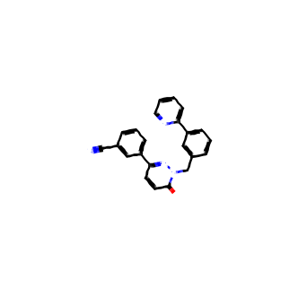 N#Cc1cccc(-c2ccc(=O)n(Cc3cccc(-c4ccccn4)c3)n2)c1